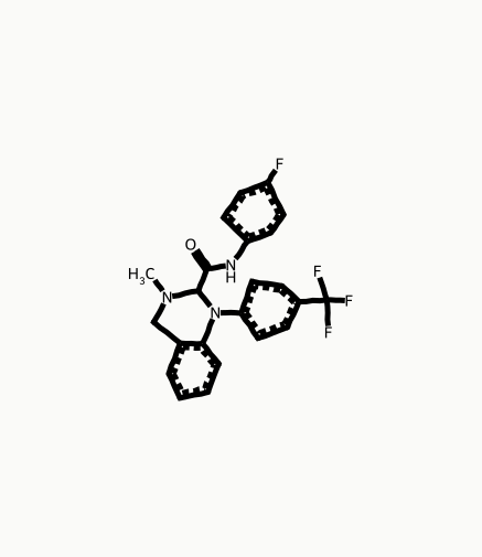 CN1Cc2ccccc2N(c2ccc(C(F)(F)F)cc2)C1C(=O)Nc1ccc(F)cc1